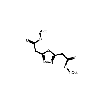 CCCCCCCCOC(=O)Cc1nnc(CC(=O)OCCCCCCCC)s1